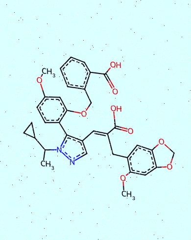 COc1ccc(-c2c(C=C(Cc3cc4c(cc3OC)OCO4)C(=O)O)cnn2C(C)C2CC2)c(OCc2ccccc2C(=O)O)c1